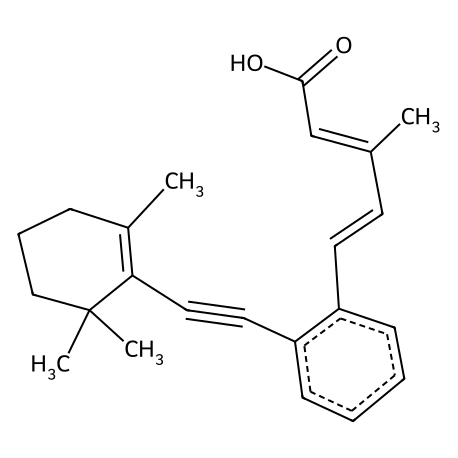 CC(C=Cc1ccccc1C#CC1=C(C)CCCC1(C)C)=CC(=O)O